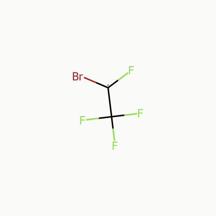 F[C](Br)C(F)(F)F